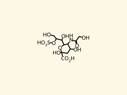 O=C(CO)NC1C(O)CC(O)(C(=O)O)OC1C(O)C(CO)OS(=O)(=O)O